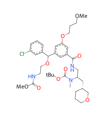 COCCCOc1cc(C(=O)NCC(C[C@H]2CCCOC2)N(C)C(=O)OC(C)(C)C)cc(C(OCCNC(=O)OC)c2cccc(Cl)c2)c1